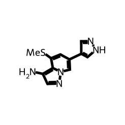 CSc1cc(-c2cn[nH]c2)cn2ncc(N)c12